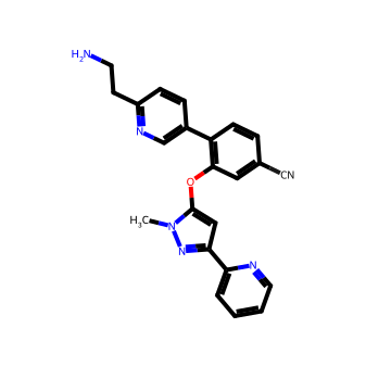 Cn1nc(-c2ccccn2)cc1Oc1cc(C#N)ccc1-c1ccc(CCN)nc1